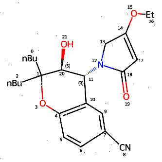 CCCCC1(CCCC)Oc2ccc(C#N)cc2[C@@H](N2CC(OCC)=CC2=O)[C@@H]1O